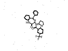 O=C(N[C@H]1N=C(c2ccccc2)c2ccccc2NC1=O)c1cc(C(F)(F)F)ccc1N1CCCC1